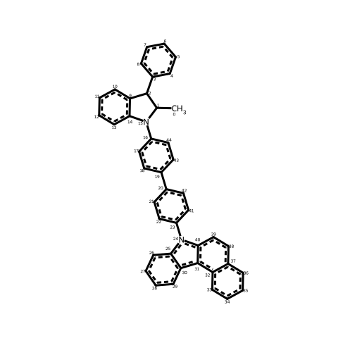 CC1C(c2ccccc2)c2ccccc2N1c1ccc(-c2ccc(-n3c4ccccc4c4c5ccccc5ccc43)cc2)cc1